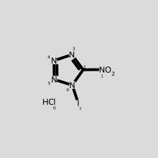 Cl.O=[N+]([O-])c1nnnn1I